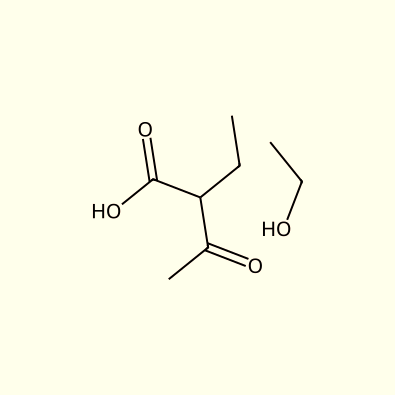 CCC(C(C)=O)C(=O)O.CCO